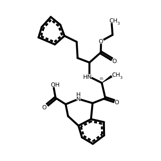 CCOC(=O)C(CCc1ccccc1)N[C@@H](C)C(=O)C1NC(C(=O)O)Cc2ccccc21